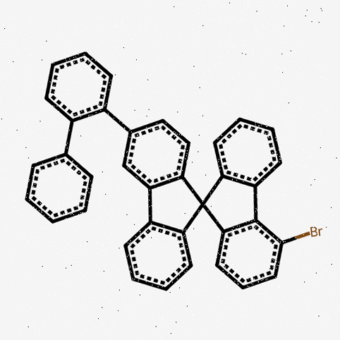 Brc1cccc2c1-c1ccccc1C21c2ccccc2-c2cc(-c3ccccc3-c3ccccc3)ccc21